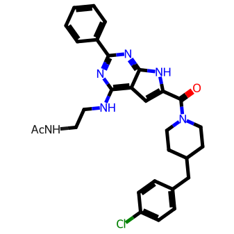 CC(=O)NCCNc1nc(-c2ccccc2)nc2[nH]c(C(=O)N3CCC(Cc4ccc(Cl)cc4)CC3)cc12